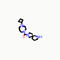 O=C(N1CCCN(C2CCC2)CC1)N1CC[C@@]2(CCCNC2)C1